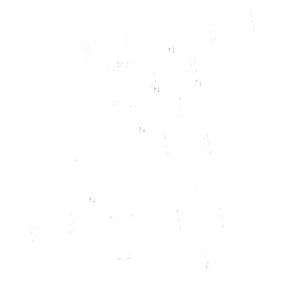 Fc1ccc(-c2ccc(-c3nc(-c4ccccc4)nc(-c4ccccc4)n3)c(-n3c4ccccc4c4ccc(-n5c6ccccc6c6ccccc65)cc43)c2)cc1